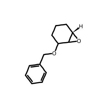 c1ccc(COC2CCC[C@@H]3OC23)cc1